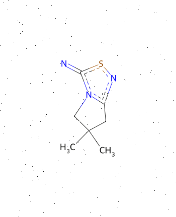 CC1(C)Cc2nsc(=[N])n2C1